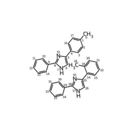 Cc1ccc(-c2c[nH]c(-c3ccccc3)n2)cc1.Cc1ccccc1-c1c[nH]c(-c2ccccc2)n1